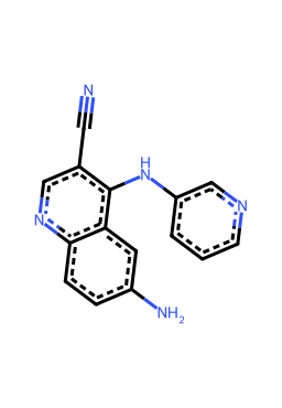 N#Cc1cnc2ccc(N)cc2c1Nc1cccnc1